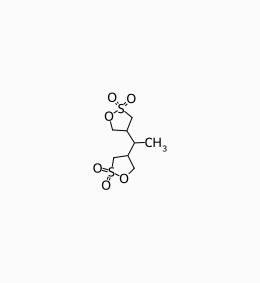 CC(C1COS(=O)(=O)C1)C1COS(=O)(=O)C1